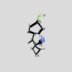 CC(c1ccc(F)cc1)C1(C#N)CCC1